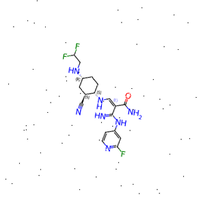 N#C[C@H]1C[C@H](NCC(F)F)CC[C@@H]1N/C=C(\C(=N)Nc1ccnc(F)c1)C(N)=O